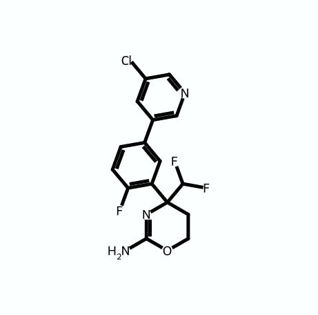 NC1=NC(c2cc(-c3cncc(Cl)c3)ccc2F)(C(F)F)CCO1